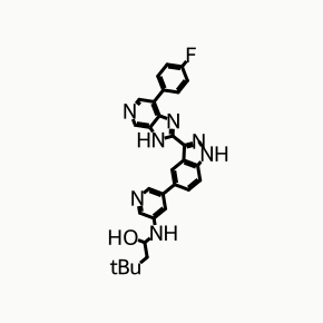 CC(C)(C)CC(O)Nc1cncc(-c2ccc3[nH]nc(-c4nc5c(-c6ccc(F)cc6)cncc5[nH]4)c3c2)c1